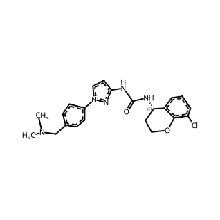 CN(C)Cc1ccc(-n2ccc(NC(=O)N[C@H]3CCOc4c(Cl)cccc43)n2)cc1